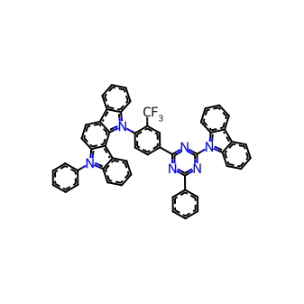 FC(F)(F)c1cc(-c2nc(-c3ccccc3)nc(-n3c4ccccc4c4ccccc43)n2)ccc1-n1c2ccccc2c2ccc3c(c4ccccc4n3-c3ccccc3)c21